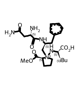 CC[C@H](C)[C@H](N[N+]1(C[C@H](Cc2ccccc2)NC(=O)[C@@H](N)CC(N)=O)CCC[C@H]1C(=O)OC)C(=O)O